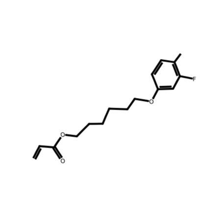 C=CC(=O)OCCCCCCOc1ccc(C)c(F)c1